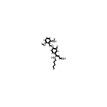 CCCCCN/C(=C\C=N)c1ccc(OCc2c(NC)cccc2OC)c(C)c1